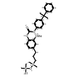 CC[Si](C)(C)O[Si](C)(C)CCCc1ccc(OC(=O)Oc2ccc(C(C)(C)c3ccccc3)cc2)c(OC)c1